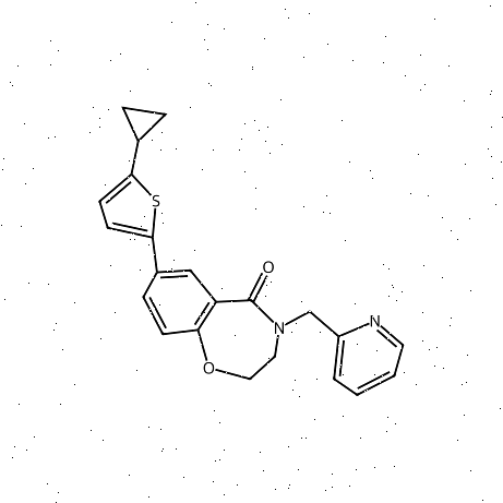 O=C1c2cc(-c3ccc(C4CC4)s3)ccc2OCCN1Cc1ccccn1